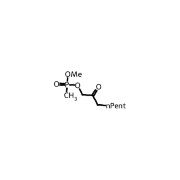 CCCCCCC(=O)COP(C)(=O)OC